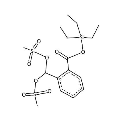 CC[Si](CC)(CC)OC(=O)c1ccccc1C(OS(C)(=O)=O)OS(C)(=O)=O